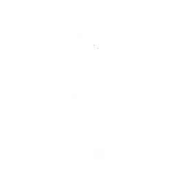 C=CC(=O)N(C)CCc1ccc(-c2ccc(CCCCC)cc2)cc1